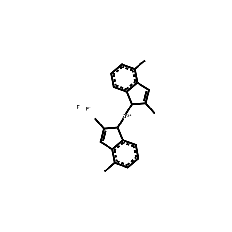 CC1=Cc2c(C)cccc2[CH]1[Zr+2][CH]1C(C)=Cc2c(C)cccc21.[F-].[F-]